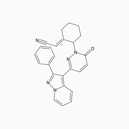 N#C/C=C1\CCCCC1n1nc(-c2c(-c3ccccc3)nn3ccccc23)ccc1=O